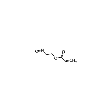 C=CC(=O)OCCN=O